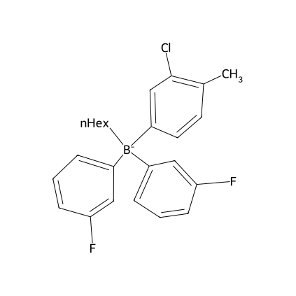 CCCCCC[B-](c1cccc(F)c1)(c1cccc(F)c1)c1ccc(C)c(Cl)c1